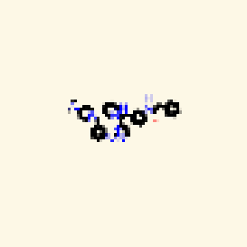 CN(C)C1CCN(Cc2cccc(Nc3nccc(-c4c(-c5cccc(NC(=O)Cc6ccccc6)c5)nc5ccccn45)n3)c2)CC1